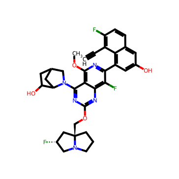 C#Cc1c(F)ccc2cc(O)cc(-c3nc(OC)c4c(N5CC6CC(O)C5C6)nc(OC[C@@]56CCCN5C[C@H](F)C6)nc4c3F)c12